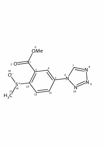 COC(=O)c1cc(-n2cnnn2)ccc1[S+](C)[O-]